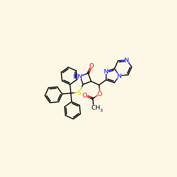 CC(=O)OC(c1cn2ccncc2n1)C1C(=O)NC1SC(c1ccccc1)(c1ccccc1)c1ccccc1